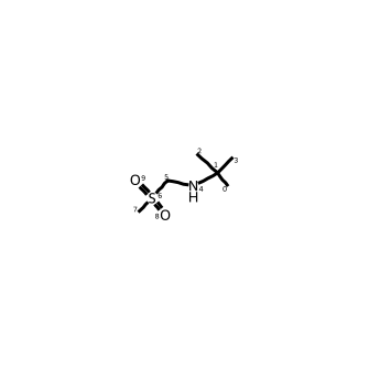 CC(C)(C)NCS(C)(=O)=O